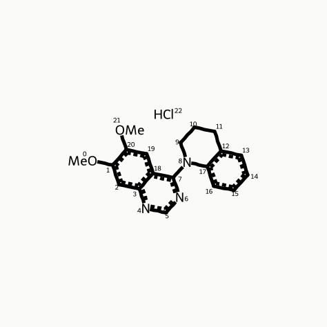 COc1cc2ncnc(N3CCCc4ccccc43)c2cc1OC.Cl